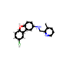 Cc1cccnc1CNc1ccc2oc3ccc(Cl)cc3c2c1